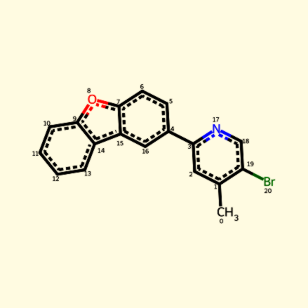 Cc1cc(-c2ccc3oc4ccccc4c3c2)ncc1Br